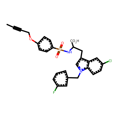 CC#CCOc1ccc(S(=O)(=O)NC(Cc2cn(Cc3cccc(F)c3)c3ccc(Cl)cc23)C(=O)O)cc1